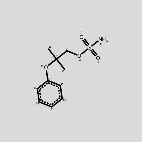 CC(C)(COS(N)(=O)=O)Oc1ccccc1